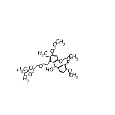 CCc1c(OCOC)cc(OCOC)c(C(O)c2ccc(OC)c(F)c2)c1CCOCC1COC(C)(C)O1